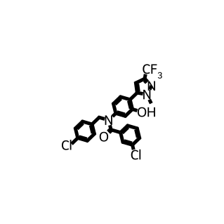 Cn1nc(C(F)(F)F)cc1-c1ccc(N(Cc2ccc(Cl)cc2)C(=O)c2cccc(Cl)c2)cc1O